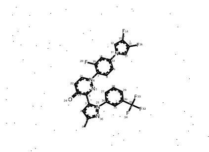 Cc1cc(-c2nn(-c3ccc(-n4cc(F)c(F)c4)cc3F)ccc2=O)n(-c2cccc(C(F)(F)F)c2)n1